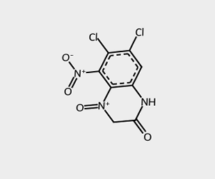 O=C1C[N+](=O)c2c(cc(Cl)c(Cl)c2[N+](=O)[O-])N1